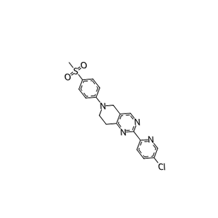 CS(=O)(=O)c1ccc(N2CCc3nc(-c4ccc(Cl)cn4)ncc3C2)cc1